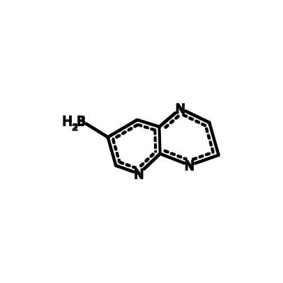 Bc1cnc2nccnc2c1